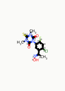 C/C(=N\O)c1cc(-n2c(=O)n(C)c(=S)n(C)c2=O)c(F)cc1Cl